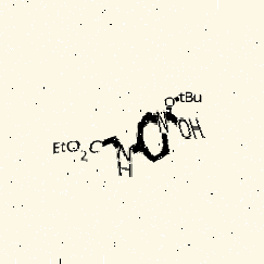 CCOC(=O)CNC1CCN(C(O)OC(C)(C)C)CC1